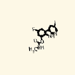 CNC(=O)Oc1cc(F)cc2c1[nH]c1ncc(I)cc12